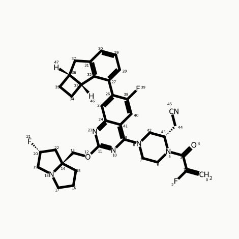 C=C(F)C(=O)N1CCN(c2nc(OC[C@@]34CCCN3C[C@H](F)C4)nc3cc(-c4cccc5c4[C@@H]4CC[C@@H]4C5)c(F)cc23)C[C@@H]1CC#N